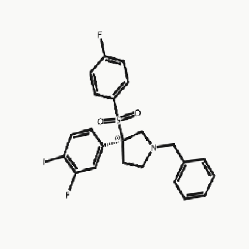 O=S(=O)(c1ccc(F)cc1)[C@]1(c2ccc(I)c(F)c2)CCN(Cc2ccccc2)C1